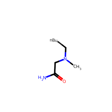 CCCCCN(C)CC(N)=O